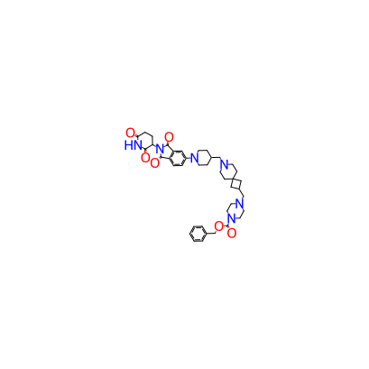 O=C1CCC(N2C(=O)c3ccc(N4CCC(CN5CCC6(CC5)CC(CN5CCN(C(=O)OCc7ccccc7)CC5)C6)CC4)cc3C2=O)C(=O)N1